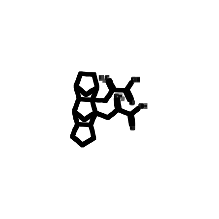 C=C(CC12CC(C3CCCC31)C1C3CCC(C3)C12CC(=C)C(=O)O)C(=O)O